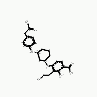 CCCc1c(O[C@@H]2CCC[C@@H](Sc3ccc(CC(=O)O)cc3)C2)ccc(C(C)=O)c1O